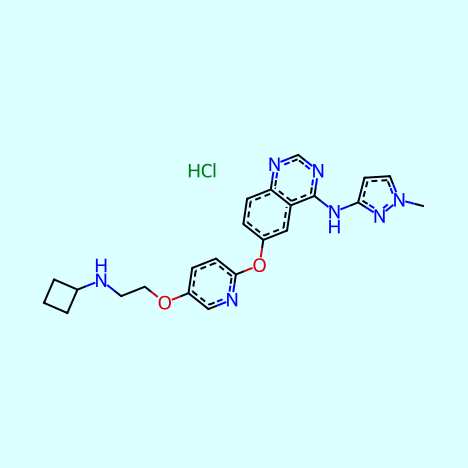 Cl.Cn1ccc(Nc2ncnc3ccc(Oc4ccc(OCCNC5CCC5)cn4)cc23)n1